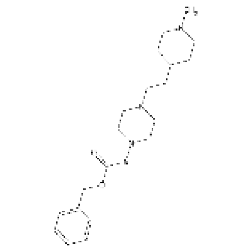 CN1CCC(CCN2CCN(SC(=O)OCc3ccccc3)CC2)CC1